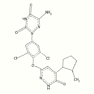 CC1CCCC1c1cc(Oc2c(Cl)cc(-n3nc(N)c(=O)[nH]c3=O)cc2Cl)n[nH]c1=O